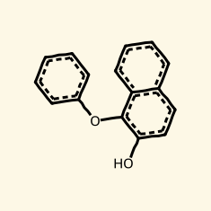 Oc1ccc2ccccc2c1Oc1ccccc1